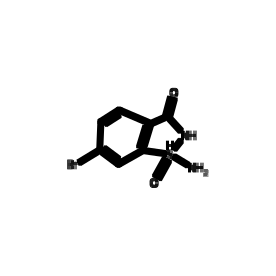 N[SH]1(=O)NC(=O)c2ccc(Br)cc21